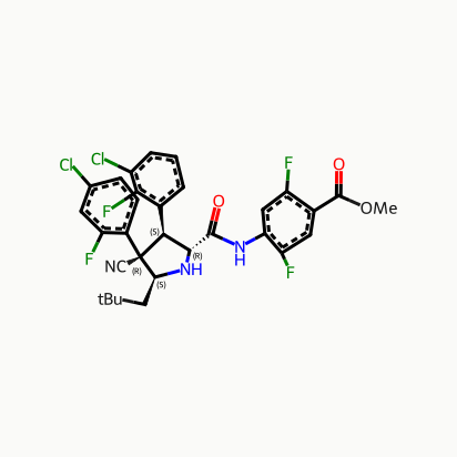 COC(=O)c1cc(F)c(NC(=O)[C@@H]2N[C@@H](CC(C)(C)C)[C@](C#N)(c3ccc(Cl)cc3F)[C@H]2c2cccc(Cl)c2F)cc1F